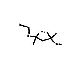 CNC(C)(C)CC(C)(NCI)SC